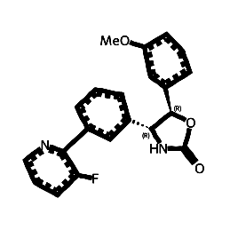 COc1cccc([C@H]2OC(=O)N[C@@H]2c2cccc(-c3ncccc3F)c2)c1